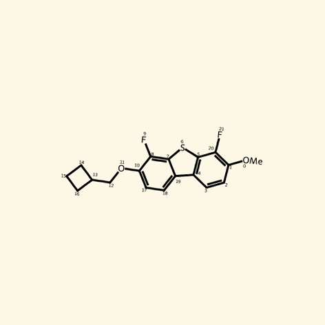 COc1ccc2c(sc3c(F)c(OCC4CCC4)ccc32)c1F